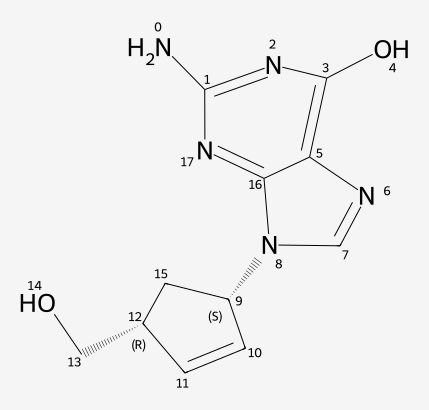 Nc1nc(O)c2ncn([C@@H]3C=C[C@H](CO)C3)c2n1